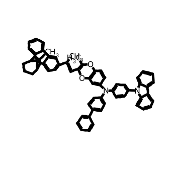 CC1=C(/C=C(\C)c2ccc3c(c2)-c2ccccc2C32C3CCCC2CC(C)C3)Oc2cc(N(c3ccc(-c4ccccc4)cc3)c3ccc(-n4c5ccccc5c5ccccc54)cc3)ccc2O1